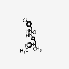 CCN(CC1CC(NC(=O)NCc2ccc(Cl)cc2)C1)c1ccnc(C)c1